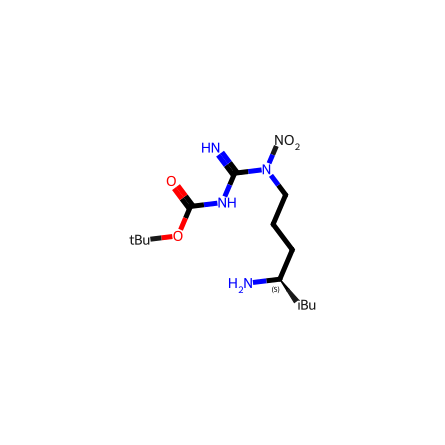 CCC(C)[C@@H](N)CCCN(C(=N)NC(=O)OC(C)(C)C)[N+](=O)[O-]